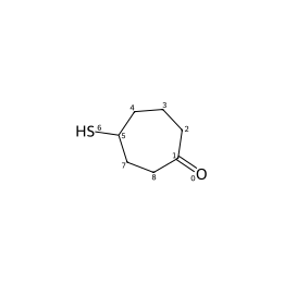 O=C1CCCC(S)CC1